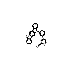 N#Cc1cc(C2=CCCC(n3c4ccccc4c4cc5oc6ccccc6c5cc43)=C2)ccn1